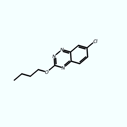 CCCCOc1nnc2cc(Cl)ccc2n1